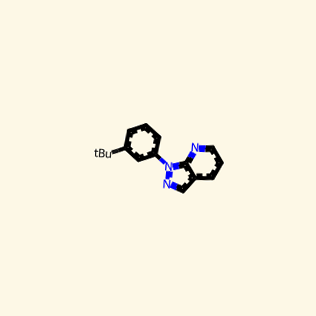 CC(C)(C)c1cccc(-n2ncc3cccnc32)c1